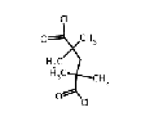 CC(C)(CC(C)(C)C(=O)Cl)C(=O)Cl